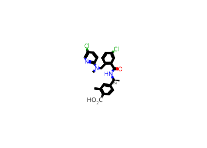 Cc1cc([C@H](C)NC(=O)c2cc(Cl)ccc2CN(C)c2ccc(Cl)cn2)ccc1C(=O)O